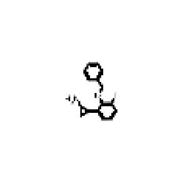 NC1CC1c1cccc(F)c1OCc1ccccc1